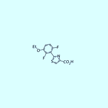 CCOc1ccc(F)c(-c2nc(C(=O)O)cs2)c1F